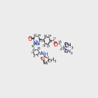 C/C=C(/Nc1cccc(Cn2nc(-c3ccc(COCCN(C)C)cc3)ccc2=O)c1)OCC